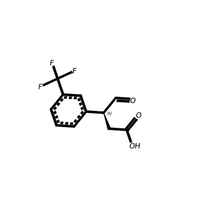 O=C[C@@H](CC(=O)O)c1cccc(C(F)(F)F)c1